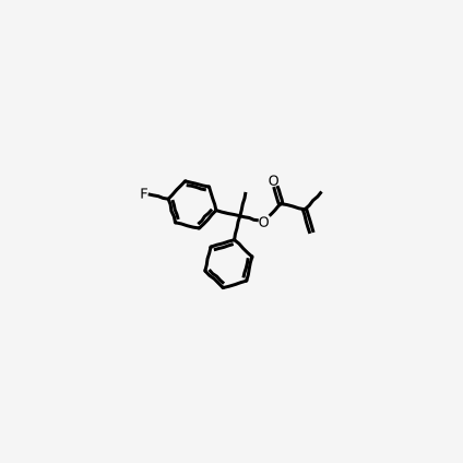 C=C(C)C(=O)OC(C)(c1ccccc1)c1ccc(F)cc1